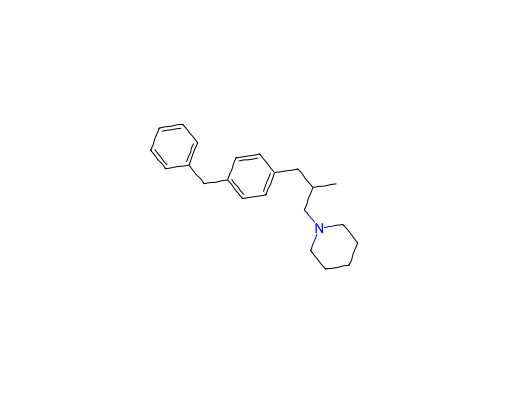 CC(Cc1ccc(Cc2ccccc2)cc1)CN1CCCCC1